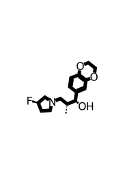 C[C@H](CN1CC[C@@H](F)C1)[C@H](O)c1ccc2c(c1)OCCO2